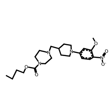 CCCCOC(=O)N1CCN(CC2CCN(c3ccc([N+](=O)[O-])c(OC)c3)CC2)CC1